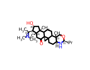 CC(C)[C@H]1N[C@H]2CCC34C[C@]35C(=O)C[C@]3(C)[C@@H]([C@H](C)N(C)C)[C@H](O)C[C@@]3(C)C5CCC4[C@]2(C)CO1